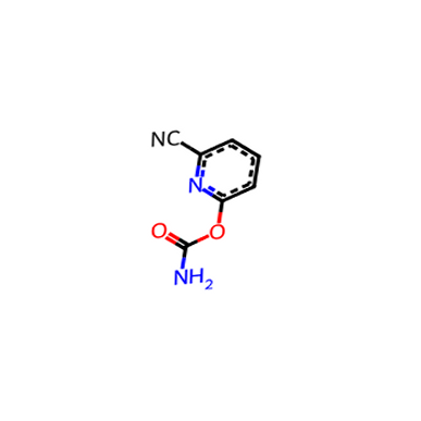 N#Cc1cccc(OC(N)=O)n1